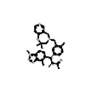 CC(=O)[C@@H](C)[C@H](c1ccc(C)c(CN2Cc3cnccc3OC(C)(C)C2)c1)c1ccc2c(nnn2C)c1C